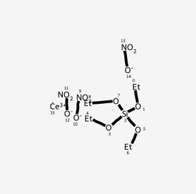 CCO[Si](OCC)(OCC)OCC.O=[N+]([O-])[O-].O=[N+]([O-])[O-].O=[N+]([O-])[O-].[Ce+3]